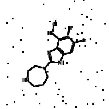 ONc1c(Br)c(Br)cc2[nH]c(N3CCCNCC3)nc12